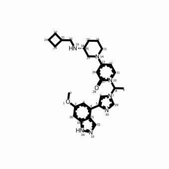 COc1cc(-c2cn(C(C)n3ccc(N4CCC[C@@H](NCC5CCC5)C4)cc3=O)cn2)c2cn[nH]c2c1